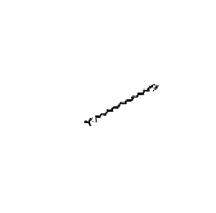 C=C(C)COCCCCCCCCCCCCCCCCCCC[Si](C)(C)F